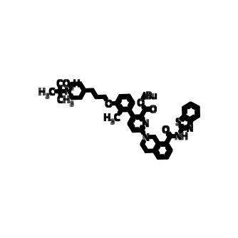 Cc1c(OCCCC2CCN(C(C)(C)C(=O)O)CC2)cccc1-c1ccc(N2CCc3cccc(C(=O)Nc4nc5ccccc5s4)c3C2)nc1C(=O)OC(C)(C)C